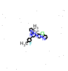 Cc1ccc(-c2cc(N3CCN(c4ncccc4Cl)C[C@H]3C)nc(N3CCC[C@@H]3C)n2)cc1F